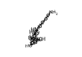 NCCOCCOCCOCCOCCNC(=S)Nc1ccc2c(c1)C(=O)OC21c2ccc(O)cc2Oc2cc(O)ccc21